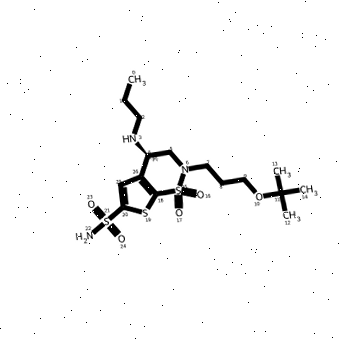 CCCN[C@H]1CN(CCCOC(C)(C)C)S(=O)(=O)c2sc(S(N)(=O)=O)cc21